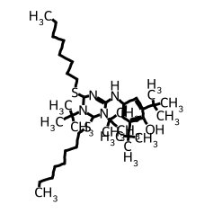 CCCCCCCCSC1N=C(Nc2cc(C(C)(C)C)c(O)c(C(C)(C)C)c2)N(C(C)(C)C)C(SCCCCCCCC)N1C(C)(C)C